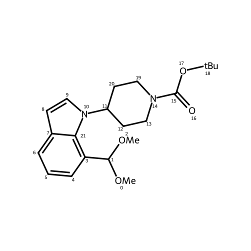 COC(OC)c1cccc2ccn(C3CCN(C(=O)OC(C)(C)C)CC3)c12